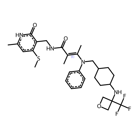 CSc1cc(C)[nH]c(=O)c1CNC(=O)/C(C)=C(\C)N(CC1CCC(NC2(C(F)(F)F)COC2)CC1)c1ccccc1